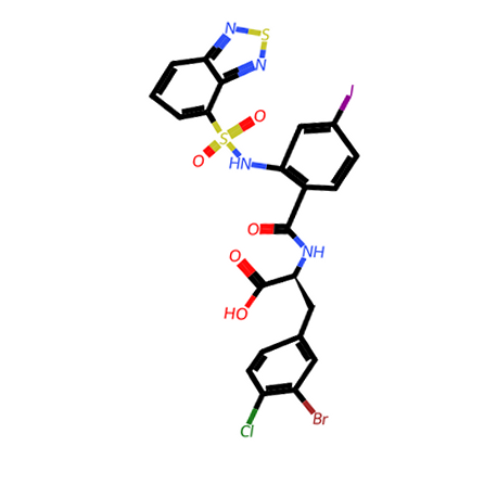 O=C(N[C@@H](Cc1ccc(Cl)c(Br)c1)C(=O)O)c1ccc(I)cc1NS(=O)(=O)c1cccc2nsnc12